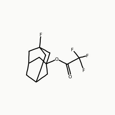 O=C(OC12CC3CC(CC(F)(C3)C1)C2)C(F)(F)F